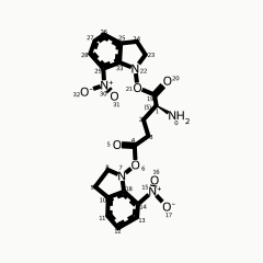 N[C@@H](CCC(=O)ON1CCc2cccc([N+](=O)[O-])c21)C(=O)ON1CCc2cccc([N+](=O)[O-])c21